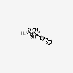 C[C@H](C#Cc1ccc(Cc2cccs2)s1)N(O)C(N)=O